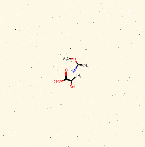 CC(O)C(=O)O.COC(C)N